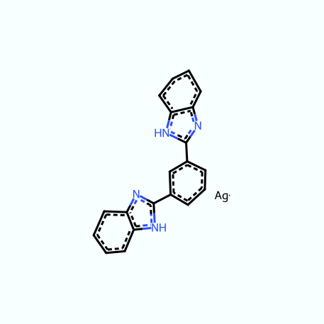 [Ag].c1cc(-c2nc3ccccc3[nH]2)cc(-c2nc3ccccc3[nH]2)c1